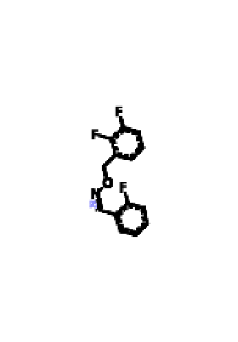 Fc1ccccc1/[C]=N\OCc1cccc(F)c1F